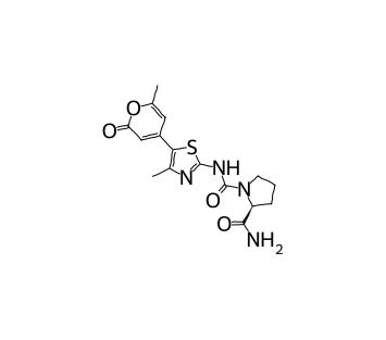 Cc1cc(-c2sc(NC(=O)N3CCC[C@H]3C(N)=O)nc2C)cc(=O)o1